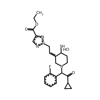 CCOC(=O)c1cnn(C/C=C2/CN(C(C(=O)C3CC3)c3ccccc3F)CCC2S)n1.Cl